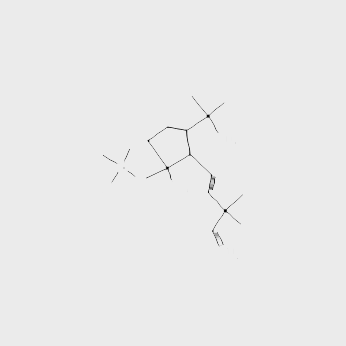 C=CC(C)(O)/C=C/C1C(C(C)(C)O)CCC1(C)O[Si](C)(C)C